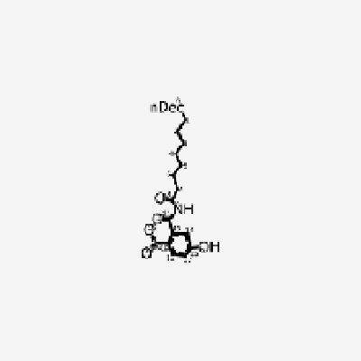 CCCCCCCCCCCCCCCCCC(=O)NC(=O)c1cc(O)ccc1I(=O)=O